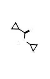 O=C(OC1CC1)C1CC1.[Zr]